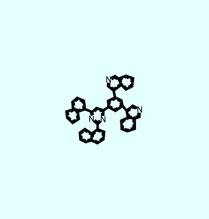 c1ccc2c(-c3cc(-c4cc(-c5cccc6ccccc56)nc(-c5cccc6ccccc56)n4)cc(-c4cncc5ccccc45)c3)cncc2c1